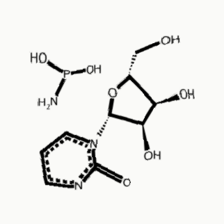 NP(O)O.O=c1ncccn1[C@@H]1O[C@H](CO)[C@@H](O)[C@H]1O